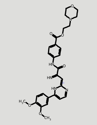 COc1ccc(C2=CC=N/C(=C/C(=N)C(=O)Nc3ccc(C(=O)OCCN4CCOCC4)cc3)N2)cc1OC